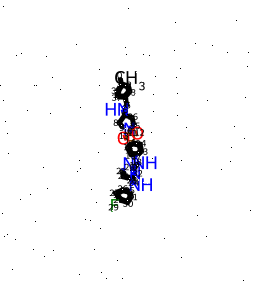 Cc1ccc(CNC2CCN(S(=O)(=O)c3ccc(Nc4nccc(Nc5ccc(F)cc5)n4)cc3)CC2)cc1